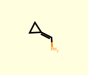 PC=C1CC1